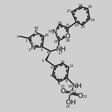 Cc1nc([C@H](Cc2ccc(NS(=O)(=O)O)cc2)Nc2ncc(-c3ccccc3)o2)cs1